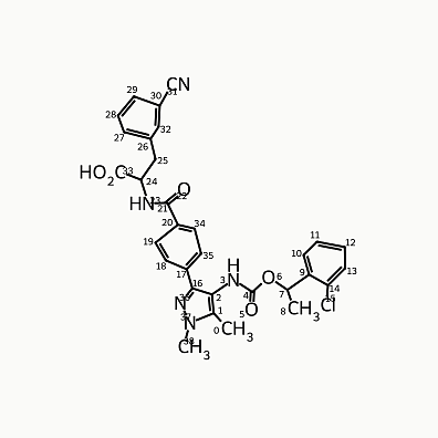 Cc1c(NC(=O)OC(C)c2ccccc2Cl)c(-c2ccc(C(=O)NC(Cc3cccc(C#N)c3)C(=O)O)cc2)nn1C